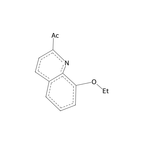 CCOc1cccc2ccc(C(C)=O)nc12